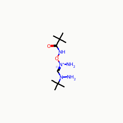 CC(C)(C)C(=O)NO/[N+](N)=C/N(N)C(C)(C)C